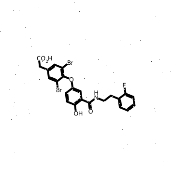 O=C(O)Cc1cc(Br)c(Oc2ccc(O)c(C(=O)NCCc3ccccc3F)c2)c(Br)c1